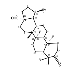 CC(C)[C@@H]1CC[C@]2(C=O)CC[C@]3(C)C(CCC4[C@@]5(C)CCC(=O)C(C)(C)C5CC[C@]43C)C12